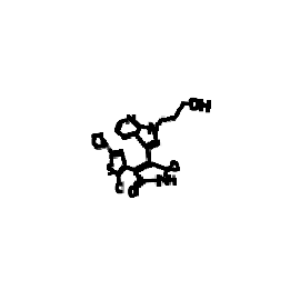 O=C1NC(=O)C(c2cn(CCCO)c3ncccc23)=C1c1cc(Cl)sc1Cl